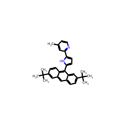 Cc1ccnc(-c2ccc(-c3c4ccc(C(C)(C)C)cc4cc4ccc(C(C)(C)C)cc34)[nH]2)c1